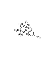 BC1(B)OC(B)(B)C(B)(B)N(c2ccc(N)cc2)C1(B)B